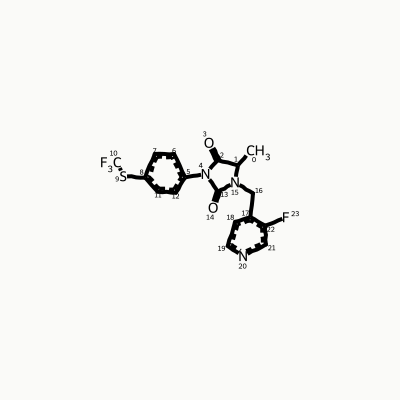 CC1C(=O)N(c2ccc(SC(F)(F)F)cc2)C(=O)N1Cc1ccncc1F